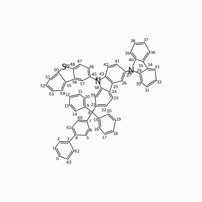 c1ccc(-c2ccc(C(c3ccccc3)(c3ccccc3)c3ccc4c5cc(-n6c7ccccc7c7ccccc76)ccc5n(-c5ccc6sc7ccccc7c6c5)c4c3)cc2)cc1